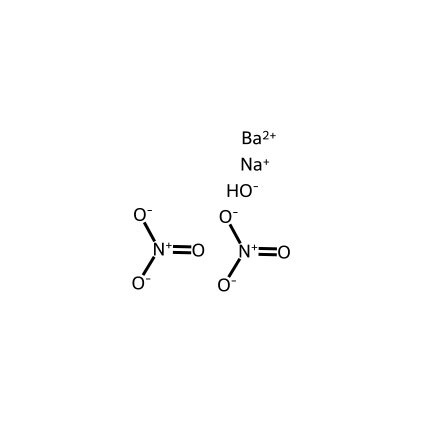 O=[N+]([O-])[O-].O=[N+]([O-])[O-].[Ba+2].[Na+].[OH-]